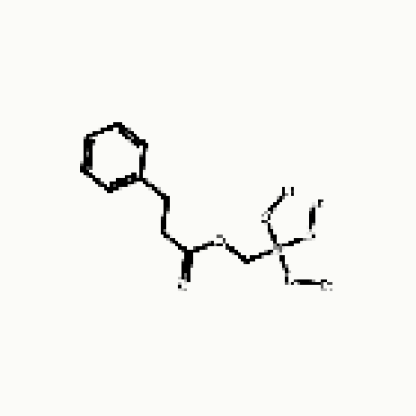 CCO[Si](COC(=O)CCc1ccccc1)(OCC)OCC